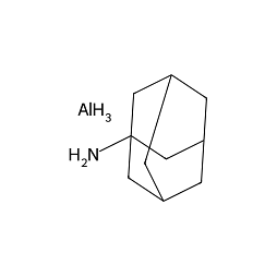 NC12CC3CC(CC(C3)C1)C2.[AlH3]